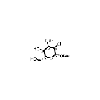 CO[C@H]1O[C@H](CO)[C@@H](O)[C@H](OC(C)=O)[C@H]1Cl